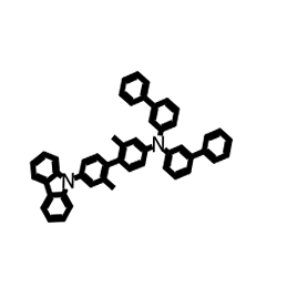 Cc1cc(N(c2cccc(-c3ccccc3)c2)c2cccc(-c3ccccc3)c2)ccc1-c1ccc(-n2c3ccccc3c3ccccc32)cc1C